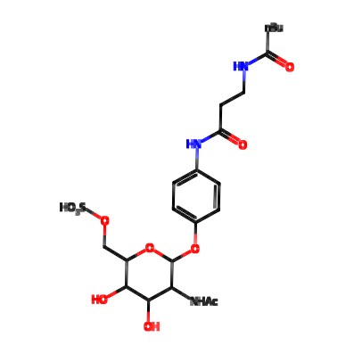 CCCCC(=O)NCCC(=O)Nc1ccc(OC2OC(COS(=O)(=O)O)C(O)C(O)C2NC(C)=O)cc1